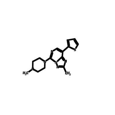 Cc1nc2c(-c3cccs3)cnc(N3CCN(C)CC3)n2n1